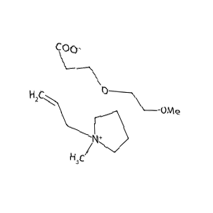 C=CC[N+]1(C)CCCC1.COCCOCCC(=O)[O-]